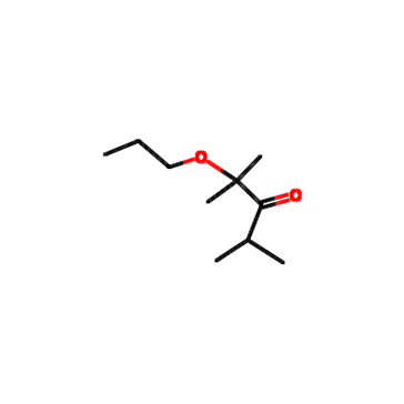 CCCOC(C)(C)C(=O)C(C)C